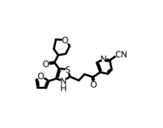 N#Cc1ccc(C(=O)CCC2NC(c3ccco3)=C(C(=O)C3CCOCC3)S2)cn1